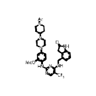 COc1cc(N2CCN(C3CCN(C(C)=O)CC3)CC2)ccc1Nc1ncc(C(F)(F)F)c(NCc2cccc3c2CC(=O)N3)n1